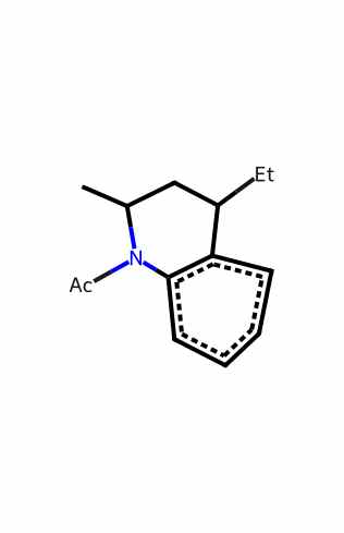 CCC1CC(C)N(C(C)=O)c2ccccc21